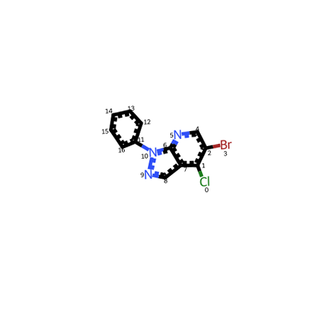 Clc1c(Br)cnc2c1cnn2-c1ccccc1